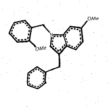 COc1ccc2c(Cc3ccccc3)cn(Cc3ccccc3OC)c2c1